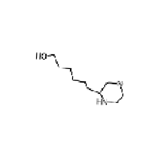 OCCCCCCC1C[N]CCN1